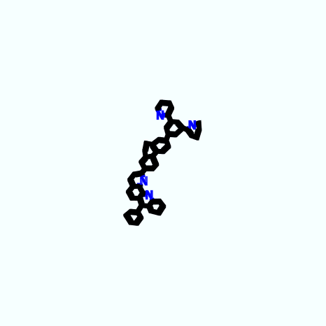 c1ccc(-c2c3ccccc3nc3c2ccc2ccc(-c4ccc5c(ccc6cc(-c7cc(-c8ccccn8)cc(-c8ccccn8)c7)ccc65)c4)nc23)cc1